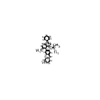 Cc1cnc2c(c(OC(C)C)nn2C2CCCCC2)c1-c1ccc(CN2CCNCC2)cc1